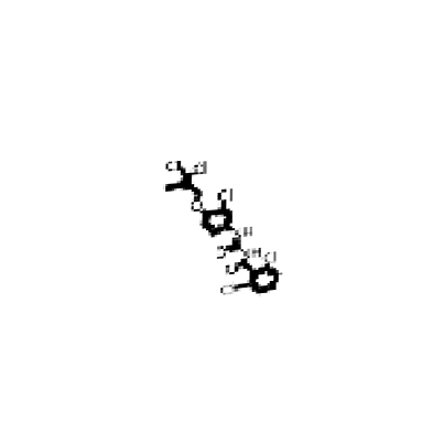 CC1C(COc2ccc(NC(=O)NC(=O)c3c(Cl)cccc3Cl)cc2Cl)C1(Cl)Cl